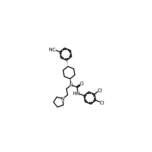 N#Cc1cccc([C@H]2CC[C@H](N(CCN3CCCC3)C(=O)Nc3ccc(Cl)c(Cl)c3)CC2)c1